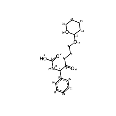 O=C(O)NC(C(=O)CCCOC1CCCCO1)c1ccccc1